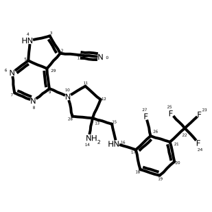 N#Cc1c[nH]c2ncnc(N3CCC(N)(CNc4cccc(C(F)(F)F)c4F)C3)c12